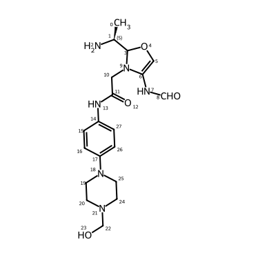 C[C@H](N)C1OC=C(NC=O)N1CC(=O)Nc1ccc(N2CCN(CO)CC2)cc1